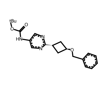 CC(C)(C)OC(=O)Nc1cnc([C@H]2C[C@H](OCc3ccccc3)C2)nc1